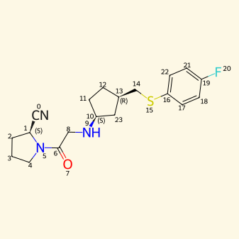 N#C[C@@H]1CCCN1C(=O)CN[C@H]1CC[C@@H](CSc2ccc(F)cc2)C1